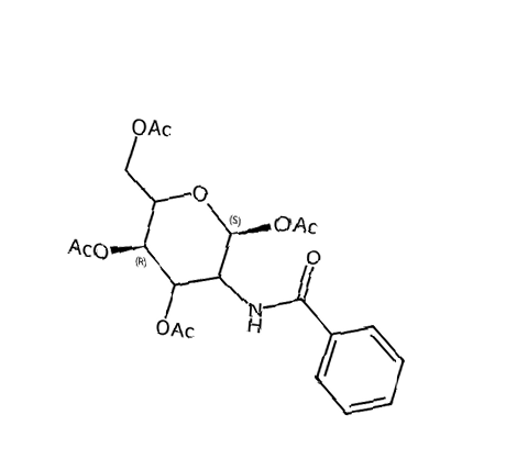 CC(=O)OCC1O[C@@H](OC(C)=O)C(NC(=O)c2ccccc2)C(OC(C)=O)[C@H]1OC(C)=O